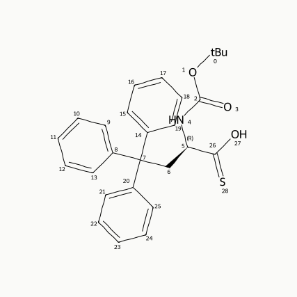 CC(C)(C)OC(=O)N[C@H](CC(c1ccccc1)(c1ccccc1)c1ccccc1)C(O)=S